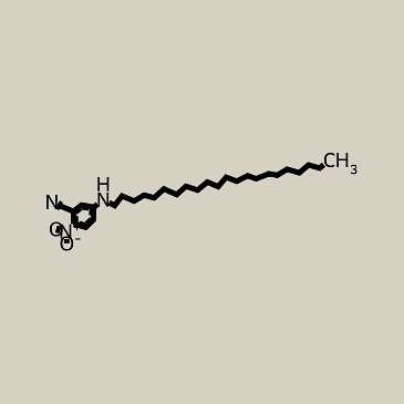 CCCCCCCCCCCCCCCCCCCCCCNc1ccc([N+](=O)[O-])c(C#N)c1